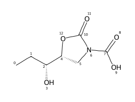 CC[C@@H](O)[C@H]1CN(C(=O)O)C(=O)O1